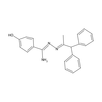 C/C(=N\N=C(N)c1ccc(O)cc1)C(c1ccccc1)c1ccccc1